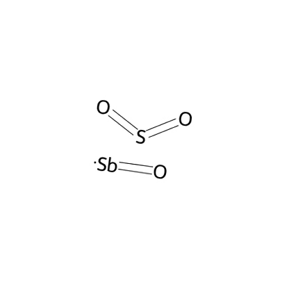 O=S=O.[O]=[Sb]